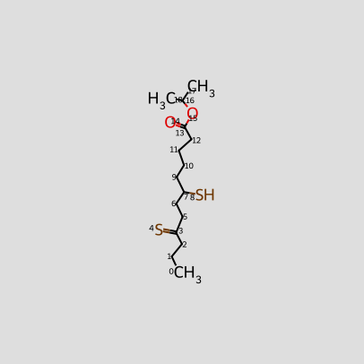 CCCC(=S)CCC(S)CCCCC(=O)OC(C)C